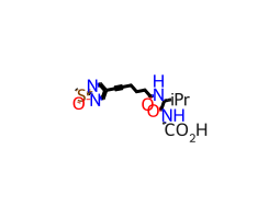 CC(C)C(NC(=O)CCCC#Cc1cnc([S+](C)[O-])nc1)C(=O)NCC(=O)O